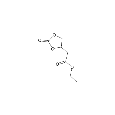 CCOC(=O)CC1COC(=O)O1